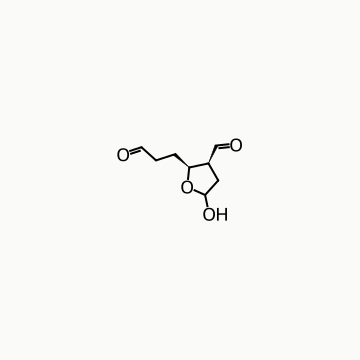 O=CCC[C@@H]1OC(O)C[C@@H]1C=O